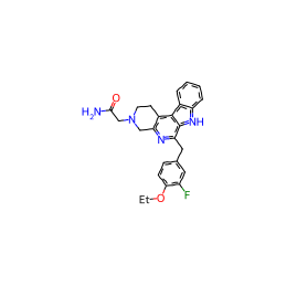 CCOc1ccc(Cc2nc3c(c4c2[nH]c2ccccc24)CCN(CC(N)=O)C3)cc1F